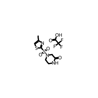 Cc1csc(S(=O)(=O)N2CCNC(=O)C2)n1.O=C(O)C(F)(F)F